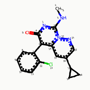 CNc1nc(=O)c(-c2ccccc2Cl)c2cc(C3CC3)cnn12